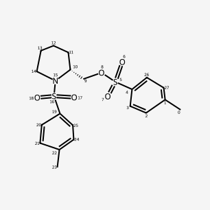 Cc1ccc(S(=O)(=O)OC[C@H]2CCCCN2S(=O)(=O)c2ccc(C)cc2)cc1